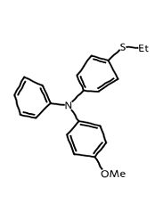 CCSc1ccc(N(c2ccccc2)c2ccc(OC)cc2)cc1